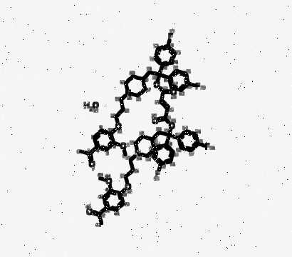 COc1cc(C(C)=O)ccc1OCCCN1CCC(CC(OC(=O)/C=C/C(=O)OC(CC2CCN(CCCOc3ccc(C(C)=O)cc3OC)CC2)(c2ccc(F)cc2)c2ccc(F)cc2)(c2ccc(F)cc2)c2ccc(F)cc2)CC1.O